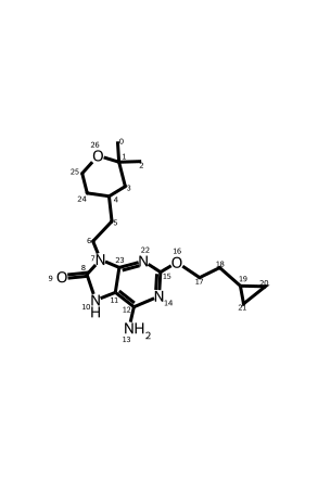 CC1(C)CC(CCn2c(=O)[nH]c3c(N)nc(OCCC4CC4)nc32)CCO1